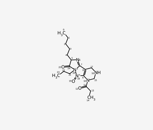 CCCCCC1N=C2C3=C(N(C(=O)CC)CNC3)[N+](=O)[N+]2(CCC)C1=O